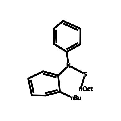 CCCCCCCCSN(c1ccccc1)c1ccccc1CCCC